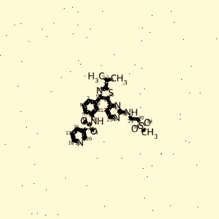 CC(C)C1=NC(c2cccc(NS(=O)(=O)c3cccnc3)c2)C(c2ccnc(NCCS(C)(=O)=O)n2)S1